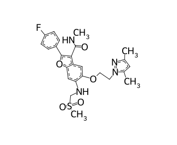 CNC(=O)c1c(-c2ccc(F)cc2)oc2cc(NCS(C)(=O)=O)c(OCCn3nc(C)cc3C)cc12